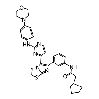 O=C(CC1CCCC1)Nc1cccc(-c2nc3sccn3c2-c2ccnc(Nc3ccc(N4CCOCC4)cc3)n2)c1